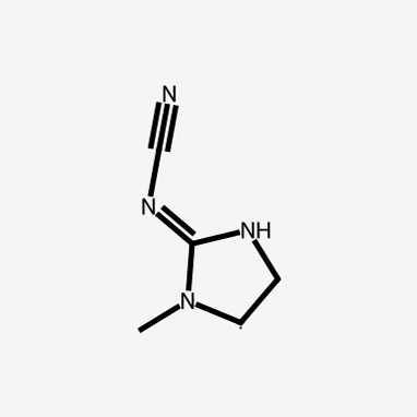 CN1[CH]CNC1=NC#N